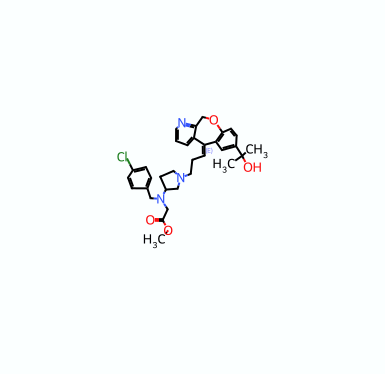 COC(=O)CN(Cc1ccc(Cl)cc1)C1CCN(CC/C=C2/c3cc(C(C)(C)O)ccc3OCc3ncccc32)C1